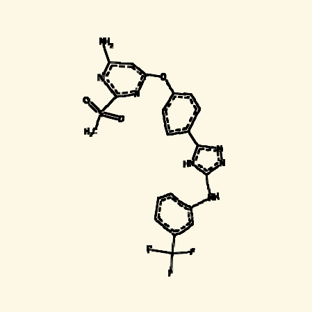 CS(=O)(=O)c1nc(N)cc(Oc2ccc(-c3nnc(Nc4cccc(C(F)(F)F)c4)[nH]3)cc2)n1